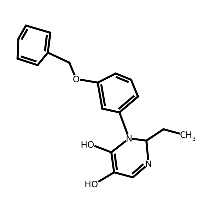 CCC1N=CC(O)=C(O)N1c1cccc(OCc2ccccc2)c1